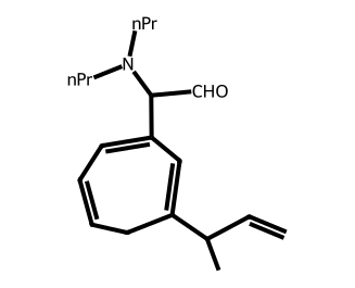 C=CC(C)C1=CC(C(C=O)N(CCC)CCC)=CC=CC1